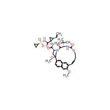 C=C[C@@H]1C[C@]1(NC(=O)[C@@H]1C[C@]2(OC)CN1C(=O)[C@H](C(C)(C)C)NC(=O)OCC/C=C\c1cc3cc2ccc3cc1OC)C(=O)NS(=O)(=O)C1CC1